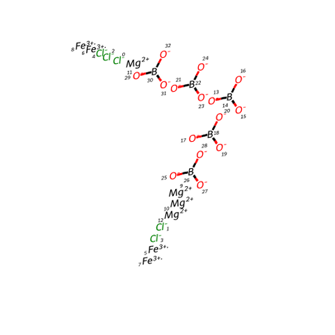 [Cl-].[Cl-].[Cl-].[Cl-].[Cl-].[Fe+3].[Fe+3].[Fe+3].[Fe+3].[Mg+2].[Mg+2].[Mg+2].[Mg+2].[O-]B([O-])[O-].[O-]B([O-])[O-].[O-]B([O-])[O-].[O-]B([O-])[O-].[O-]B([O-])[O-]